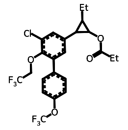 CCC(=O)OC1C(CC)C1c1cc(Cl)c(OCC(F)(F)F)c(-c2ccc(OC(F)(F)F)cc2)c1